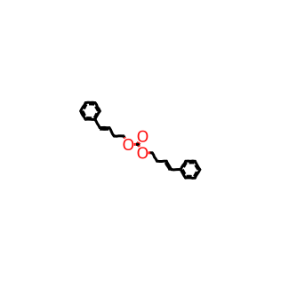 O=C(OCC/C=C/c1ccccc1)OCC/C=C/c1ccccc1